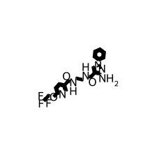 Nc1nn(-c2ccccc2)cc1C(=O)NCCNC(=O)c1ccc(OCC(F)(F)F)nc1